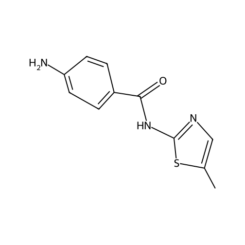 Cc1cnc(NC(=O)c2ccc(N)cc2)s1